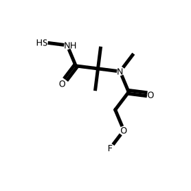 CN(C(=O)COF)C(C)(C)C(=O)NS